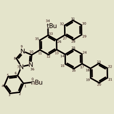 CCCCc1ccccc1-n1cnc(-c2cc(-c3ccc(-c4ccccc4)cc3)c(-c3ccccc3)c(C(C)(C)C)c2)n1